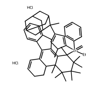 Cl.Cl.[CH2]=[Zr]([CH2]C)([C]1=CC(C2(C)C3CC4CC(C3)CC2C4)=CC1C)([c]1ccccc1)[C]1(C)C2=C3Cc4ccccc4C3=C3C=CCCC3C2(C)C(C)(C)C(C)(C)C1(C)C